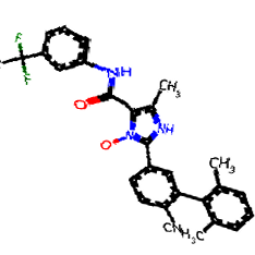 CCC(F)(F)c1cccc(NC(=O)c2c(C)[nH]c(-c3ccc(C#N)c(-c4c(C)cccc4C)c3)[n+]2[O-])c1